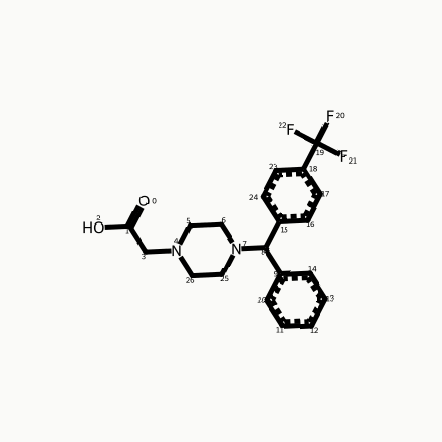 O=C(O)CN1CCN(C(c2ccccc2)c2ccc(C(F)(F)F)cc2)CC1